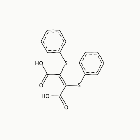 O=C(O)C(Sc1ccccc1)=C(Sc1ccccc1)C(=O)O